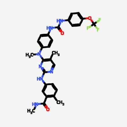 CNC(=O)c1cc(Nc2ncc(C)c(N(C)c3ccc(NC(=O)Nc4ccc(OC(F)(F)F)cc4)cc3)n2)ccc1C